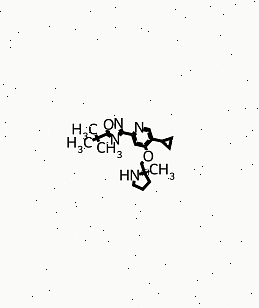 CC(C)(C)c1nc(-c2cc(OC[C@]3(C)CCCN3)c(C3CC3)cn2)no1